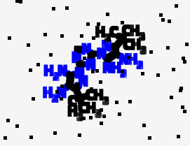 CC(C)(C)c1nn(-c2ncnc(-n3nc(C(C)(C)C)c(N)c3N)n2)c(N)c1N